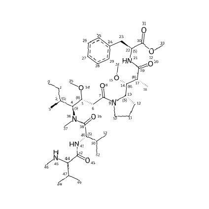 CC[C@H](C)[C@@H]([C@@H](CC(=O)N1CCC[C@H]1[C@H](OC)[C@@H](C)C(=O)N[C@@H](Cc1ccccc1)C(=O)OC)OC)N(C)C(=O)[C@@H](NC(=O)C(NC)C(C)C)C(C)C